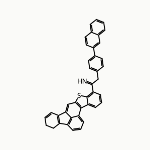 N=C(Cc1ccc(-c2ccc3ccccc3c2)cc1)c1cccc2c1sc1cc3c4c(cccc4c12)C1=C3C=CCC1